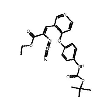 CCOC(=O)/C(=C/c1cnccc1Oc1ccc(NC(=O)OC(C)(C)C)cc1)N=[N+]=[N-]